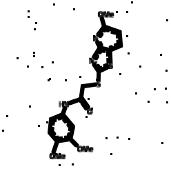 COc1ccc2sc(SCC(=O)Nc3ccc(OC)c(OC)c3)nc2n1